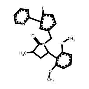 COc1cccc(OC)c1C1CC(C)C(=O)N1Cc1ccc(F)c(-c2ccccn2)c1